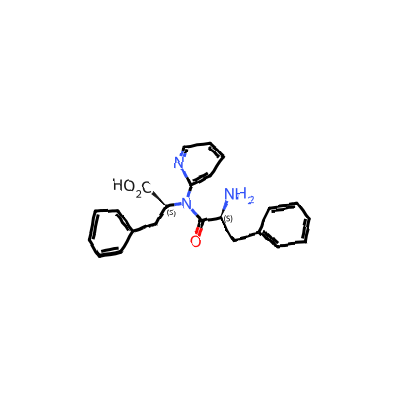 N[C@@H](Cc1ccccc1)C(=O)N(c1ccccn1)[C@@H](Cc1ccccc1)C(=O)O